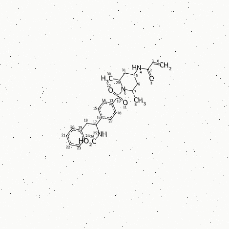 C=CC(=O)NC1CC(C)N(S(=O)(=O)c2ccc(C(Cc3ccccc3)NC(=O)O)cc2)C(C)C1